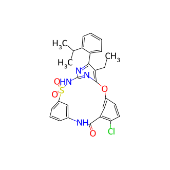 CCc1c2nc(nc1-c1ccccc1C(C)C)NS(=O)(=O)c1cccc(c1)NC(=O)c1cc(ccc1Cl)O2